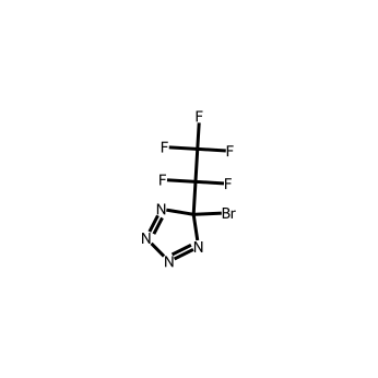 FC(F)(F)C(F)(F)C1(Br)N=NN=N1